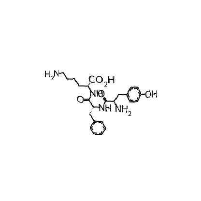 NCCCC[C@@H](NC(=O)[C@@H](Cc1ccccc1)NC(=O)[C@H](N)Cc1ccc(O)cc1)C(=O)O